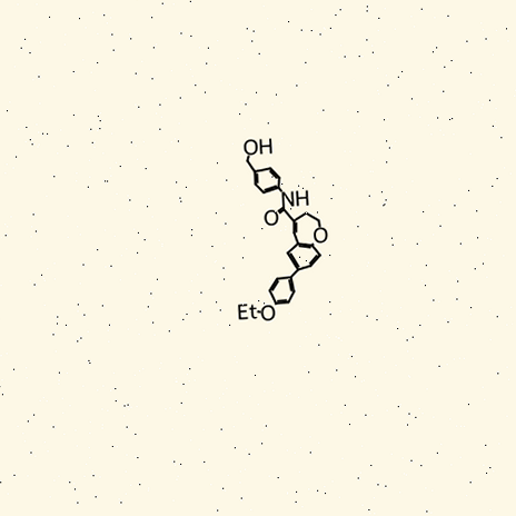 CCOc1ccc(-c2ccc3c(c2)C=C(C(=O)Nc2ccc(CO)cc2)CCO3)cc1